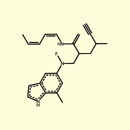 C#CC(C)CC(CN(F)c1cc(C)c2[nH]ccc2c1)C(=C)N/C=C\C=C/C